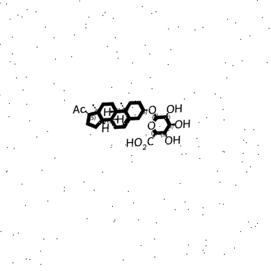 CC(=O)[C@H]1CC[C@H]2[C@@H]3CC=C4C[C@@H](O[C@@H]5O[C@H](C(=O)O)[C@@H](O)[C@H](O)[C@H]5O)CC[C@]4(C)[C@H]3CC[C@]12C